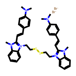 CN(C)c1ccc(C=Cc2n(C)c3ccccc3[n+]2CCSSCC[n+]2c(C=Cc3ccc(N(C)C)cc3)n(C)c3ccccc32)cc1.[Br-].[Br-]